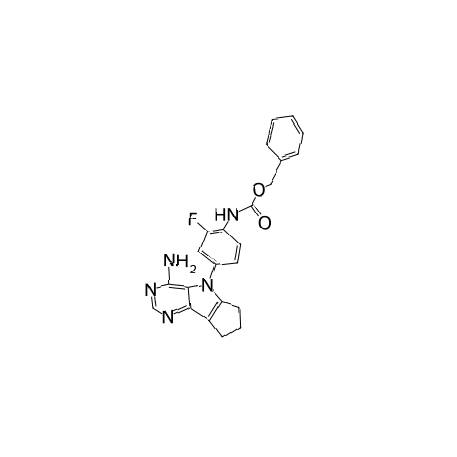 Nc1ncnc2c3c(n(-c4ccc(NC(=O)OCc5ccccc5)c(F)c4)c12)CCC3